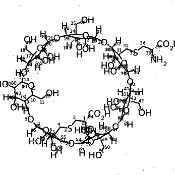 N[C@H](CSCC1O[C@H]2O[C@@H]3C(CO)O[C@H](O[C@@H]4C(CO)O[C@H](O[C@@H]5C(CO)O[C@H](O[C@@H]6C(CSC[C@@H](N)C(=O)O)O[C@H](O[C@@H]7C(CO)O[C@@H](O[C@@H]8C(CO)O[C@@H](O[C@H]1[C@H](O)C2O)C(O)[C@H]8O)C(O)[C@H]7O)C(O)[C@@H]6O)C(O)[C@H]5O)C(O)[C@H]4O)C(O)[C@H]3O)C(=O)O